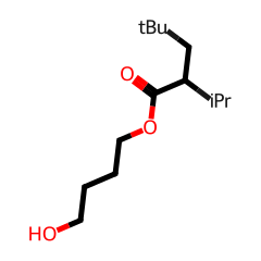 CC(C)C(CC(C)(C)C)C(=O)OCCCCO